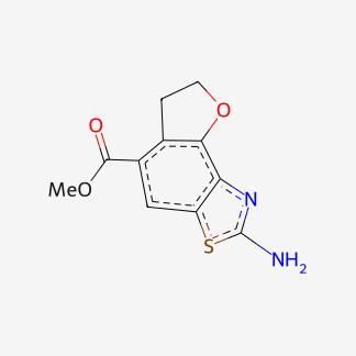 COC(=O)c1cc2sc(N)nc2c2c1CCO2